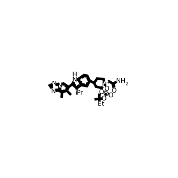 CCC(C)(C)OP(=O)([O-])O[N+]1(CC(N)=O)CCC(c2ccc3[nH]c(-c4cn5ncnc5c(C)c4C)c(C(C)C)c3c2)CC1